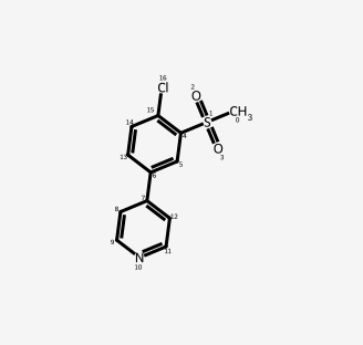 CS(=O)(=O)c1cc(-c2ccncc2)ccc1Cl